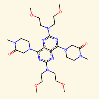 COCCN(CCOC)c1nc(N2CCN(C)C(=O)C2)c2nc(N(CCOC)CCOC)nc(N3CCN(C)C(=O)C3)c2n1